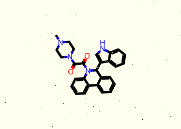 CN1CCN(C(=O)C(=O)N2c3ccccc3-c3ccccc3C2c2c[nH]c3ccccc23)CC1